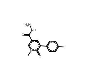 Cn1cc(C(=O)NN)cc(-c2ccc(Cl)cc2)c1=O